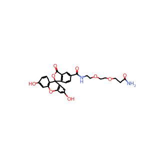 NC(=O)CCOCCOCCNC(=O)c1ccc2c(c1)C(=O)OC21c2ccc(O)cc2Oc2cc(O)ccc21